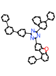 c1ccc(-c2cccc(-c3ccc(-c4nc(-c5ccc6c(c5)oc5cccc(-c7ccccc7)c56)nc(-c5ccc(-c6ccccc6)c6ccccc56)n4)cc3)c2)cc1